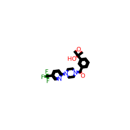 O=C(c1cccc(C2(O)COC2)c1)N1CCN(c2ccc(C(F)(F)F)cn2)CC1